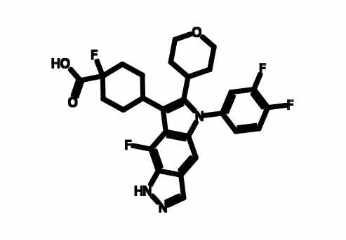 O=C(O)C1(F)CCC(c2c(C3CCOCC3)n(-c3ccc(F)c(F)c3)c3cc4cn[nH]c4c(F)c23)CC1